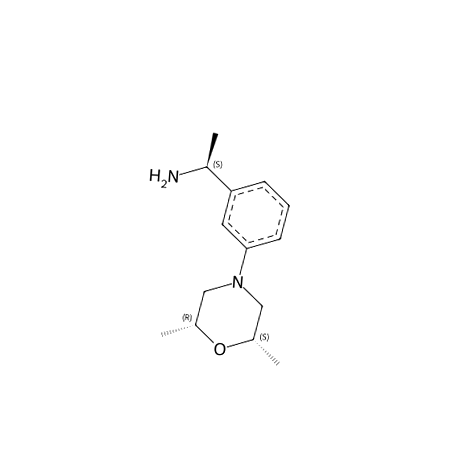 C[C@@H]1CN(c2cccc([C@H](C)N)c2)C[C@H](C)O1